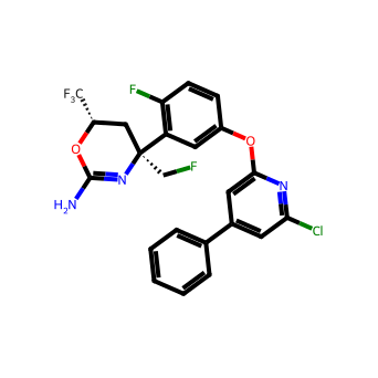 NC1=N[C@](CF)(c2cc(Oc3cc(-c4ccccc4)cc(Cl)n3)ccc2F)C[C@@H](C(F)(F)F)O1